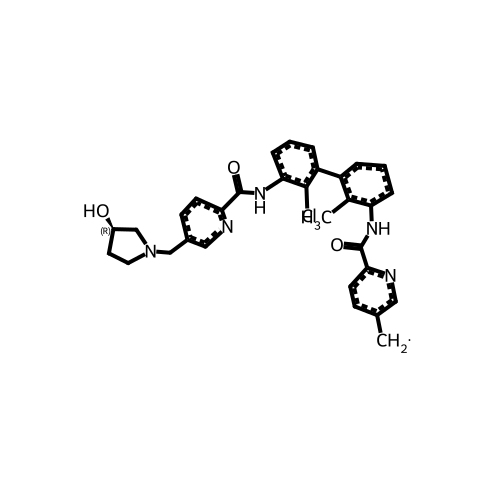 [CH2]c1ccc(C(=O)Nc2cccc(-c3cccc(NC(=O)c4ccc(CN5CC[C@@H](O)C5)cn4)c3Cl)c2C)nc1